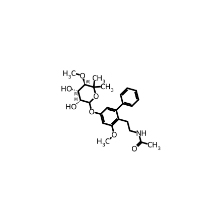 COc1cc(OC2OC(C)(C)[C@H](OC)[C@@H](O)[C@H]2O)cc(-c2ccccc2)c1CCNC(C)=O